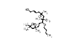 CCCCOC(CCC(C)(C)CC(C)(C)C)C(C)(C)CC(C)(C)C/C=C/CO